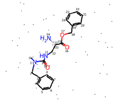 CN(Cc1ccccc1)C(=O)NC[C@H](N)C(=O)OCc1ccccc1